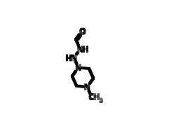 CN1CCN(NNC=O)CC1